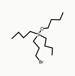 CCCCO[Si](CCCC)(CCCC)CCCBr